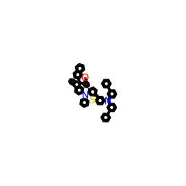 c1ccc(-c2cccc(N(c3cccc(-c4ccccc4)c3)c3ccc4sc5c(N(c6ccccc6)c6ccc7c(c6)C6(c8ccccc8Oc8c6ccc6ccccc86)c6ccccc6-7)cccc5c4c3)c2)cc1